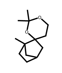 CC1(C)OCCC2(CC3CCC2(C)C3)O1